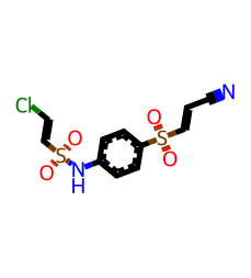 N#CC=CS(=O)(=O)c1ccc(NS(=O)(=O)C=CCl)cc1